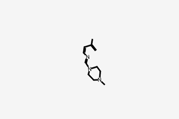 C=C(C)/C=C\N=C\N1CCN(C)CC1